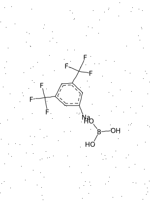 FC(F)(F)c1c[c]([Na])cc(C(F)(F)F)c1.OB(O)O